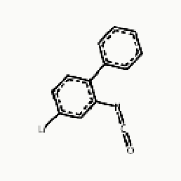 [Li][c]1ccc(-c2ccccc2)c(N=C=O)c1